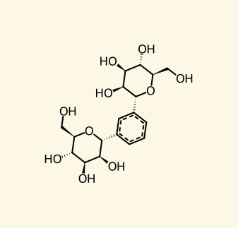 OC[C@H]1O[C@H](c2cccc([C@H]3O[C@H](CO)[C@@H](O)[C@H](O)[C@@H]3O)c2)[C@@H](O)[C@@H](O)[C@@H]1O